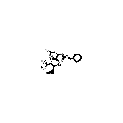 CC(C)C[C@H](NC(=O)OCC1CCCCC1)C(=O)N[C@@H](C(C)C)C(O)c1cc1=O